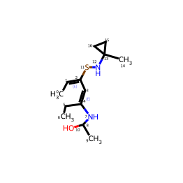 C/C=C(\C=C(/CC)NC(C)O)SNC1(C)CC1